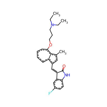 CCN(CC)CCCOc1ccccc2c(C=C3C(=O)Nc4ccc(F)cc43)cc(C)c1-2